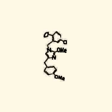 COc1ccc(Cc2cn(Cc3cc(Cl)ccc3Cl)c(OC)n2)cc1